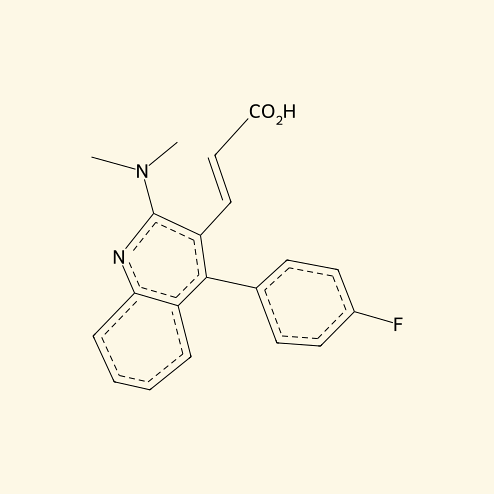 CN(C)c1nc2ccccc2c(-c2ccc(F)cc2)c1/C=C/C(=O)O